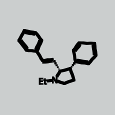 CCN1CC[C@@H](c2ccccc2)[C@H]1/C=C/c1ccccc1